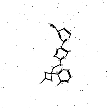 N#Cc1ccnc(-c2cnc(NCC3(c4ncccc4F)CC(F)C3)nc2)c1